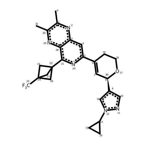 Cc1nc2cc(C3=C[C@H](c4cnn(C5CC5)c4)OCC3)nc(C34CC(C(F)(F)F)(C3)C4)c2nc1C